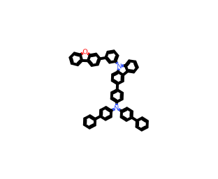 c1ccc(-c2ccc(N(c3ccc(-c4ccccc4)cc3)c3ccc(-c4ccc5c(c4)c4ccccc4n5-c4cccc(-c5ccc6c(c5)oc5ccccc56)c4)cc3)cc2)cc1